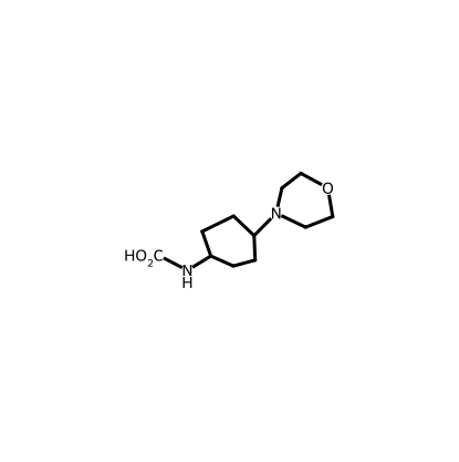 O=C(O)NC1CCC(N2CCOCC2)CC1